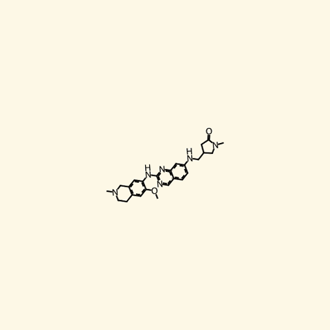 COc1cc2c(cc1Nc1ncc3ccc(NCC4CC(=O)N(C)C4)cc3n1)CN(C)CC2